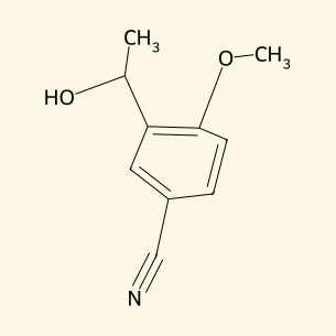 COc1ccc(C#N)cc1C(C)O